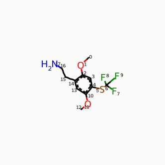 COc1cc(SC(F)(F)F)c(OC)cc1CCN